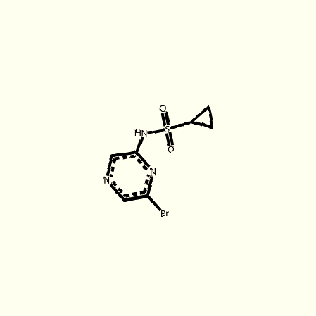 O=S(=O)(Nc1cncc(Br)n1)C1CC1